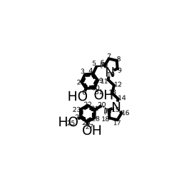 Oc1ccc(C[C@H]2CCCN2CCCCN2CCC[C@@H]2Cc2ccc(O)c(O)c2)cc1O